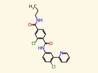 CCCNC(=O)c1ccc(C(=O)Nc2ccc(Cl)c(-c3ccccn3)c2)c(Cl)c1